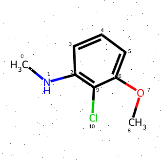 CNc1cccc(OC)c1Cl